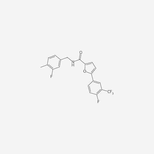 Cc1ccc(CNC(=O)c2ccc(-c3ccc(F)c(C(F)(F)F)c3)o2)cc1F